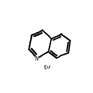 [Eu].c1ccc2ncccc2c1